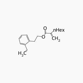 C=Cc1ccccc1CCOC(=O)C(=C)CCCCCC